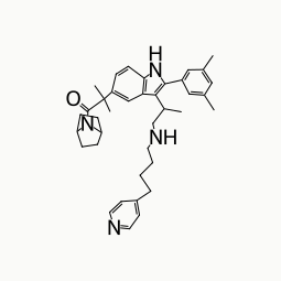 Cc1cc(C)cc(-c2[nH]c3ccc(C(C)(C)C(=O)N4C5CCC4CC5)cc3c2C(C)CNCCCCc2ccncc2)c1